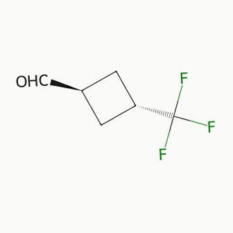 O=C[C@H]1C[C@H](C(F)(F)F)C1